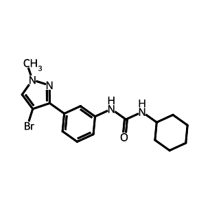 Cn1cc(Br)c(-c2cccc(NC(=O)NC3CCCCC3)c2)n1